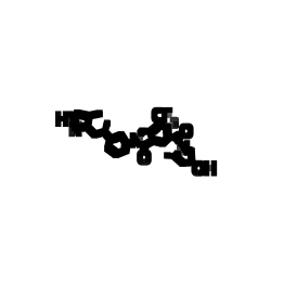 Cc1c[nH]nc1C[C@@H](C)c1cccc(N2Cc3c(cc(C(=O)N4C[C@@H](O)C[C@H]4C)cc3C(F)(F)F)C2=O)c1